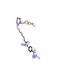 COC[C@H]1CCCN1CCCCCCCC(=O)Nc1ccc(C(N)=O)cc1